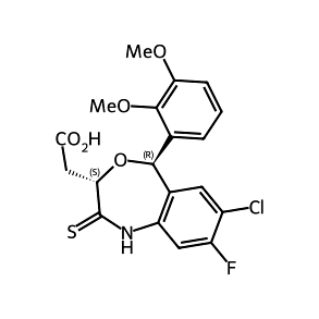 COc1cccc([C@@H]2O[C@@H](CC(=O)O)C(=S)Nc3cc(F)c(Cl)cc32)c1OC